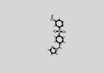 COc1cccc(S(=O)(=O)c2ccc(Cn3cccn3)cc2)c1